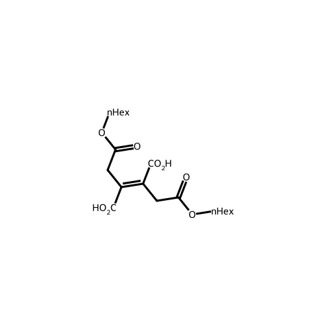 CCCCCCOC(=O)C/C(C(=O)O)=C(/CC(=O)OCCCCCC)C(=O)O